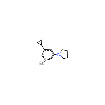 CCc1cc(C2CC2)cc(N2CCCC2)c1